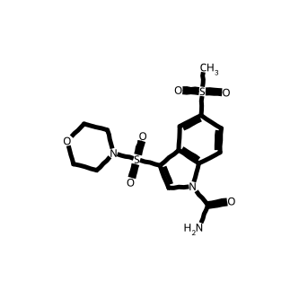 CS(=O)(=O)c1ccc2c(c1)c(S(=O)(=O)N1CCOCC1)cn2C(N)=O